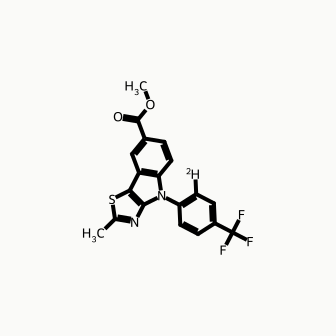 [2H]c1cc(C(F)(F)F)ccc1-n1c2ccc(C(=O)OC)cc2c2sc(C)nc21